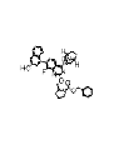 O=C(OCc1ccccc1)N1CCC[C@H]1COc1nc(N2C[C@H]3CC[C@@H](C2)N3)c2ccc(-c3cc(O)cc4ccccc34)c(F)c2n1